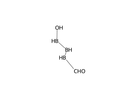 O=CBBBO